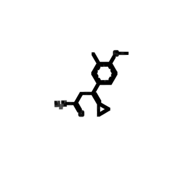 COc1ccc(C(CC(N)=O)=C2CC2)cc1C